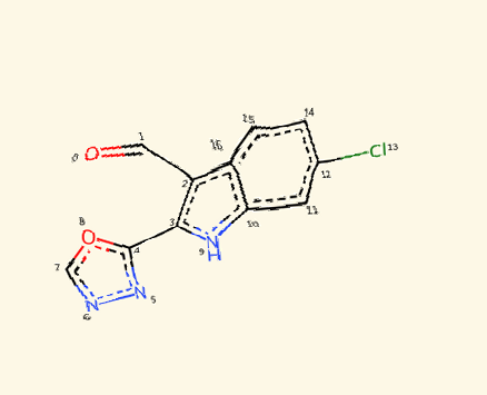 O=Cc1c(-c2nnco2)[nH]c2cc(Cl)ccc12